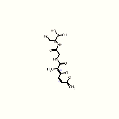 C=C(Cl)/C=C\C(Cl)=C(/C)C(=O)NCC(=O)N[C@@H](CC(C)C)B(O)O